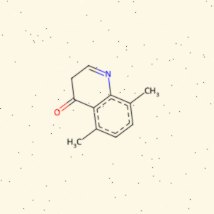 Cc1ccc(C)c2c1N=CCC2=O